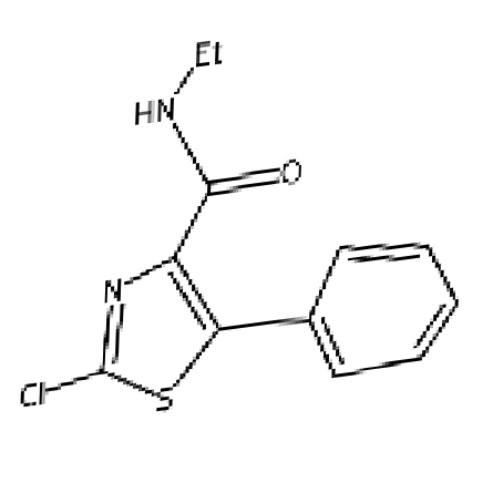 CCNC(=O)c1nc(Cl)sc1-c1ccccc1